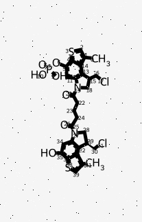 Cc1csc2c(OP(=O)(O)O)cc3c(c12)C(CCl)CN3C(=O)CCCC(=O)N1C[C@@H](CCl)c2c1cc(O)c1scc(C)c21